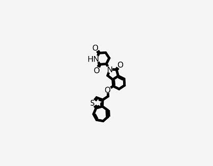 O=C1CCC(N2CC3=C(OCc4csc5c4C#CCC=C5)CCC=C3C2=O)C(=O)N1